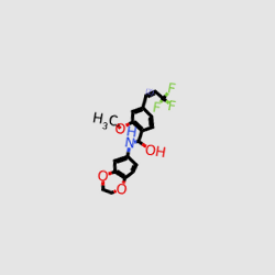 COc1cc(/C=C\C(F)(F)F)ccc1C(O)Nc1ccc2c(c1)OCCO2